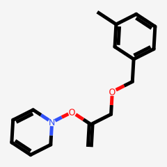 C=C(COCc1cccc(C)c1)ON1C=CC=CC1